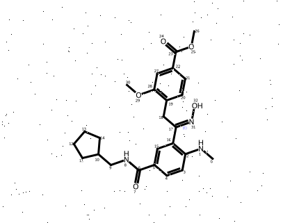 CNc1ccc(C(=O)NCC2CCCC2)cc1/C(Cc1ccc(C(=O)OC)cc1OC)=N/O